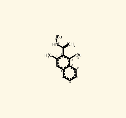 C=C(NC(C)CC)c1c(C)cc2ccccc2c1C(C)(C)C